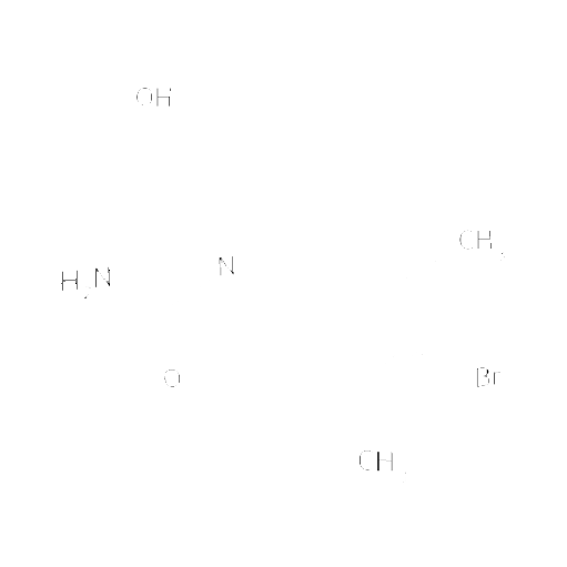 Cc1cc(N(CCO)C(N)=O)cc(C)c1Br